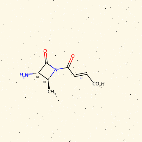 C[C@H]1[C@H](N)C(=O)N1C(=O)/C=C/C(=O)O